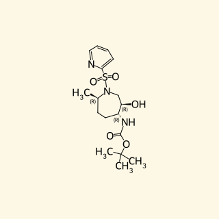 C[C@@H]1CC[C@@H](NC(=O)OC(C)(C)C)[C@H](O)CN1S(=O)(=O)c1ccccn1